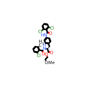 COCCOC(=O)[C@H](Cc1ccc(NC(=O)c2c(Cl)cccc2Cl)cc1)NC(=O)c1c(C)cccc1Cl